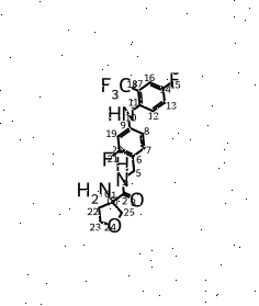 N[C@@]1(C(=O)NCc2ccc(Nc3ccc(F)cc3C(F)(F)F)cc2F)CCOC1